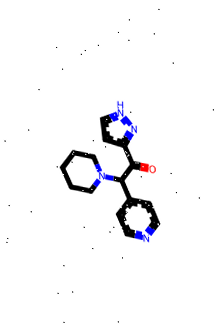 O=C(c1cc[nH]n1)C(c1ccncc1)N1CCCCC1